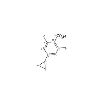 Cc1cc(C2CC2)nc(C)c1C(=O)O